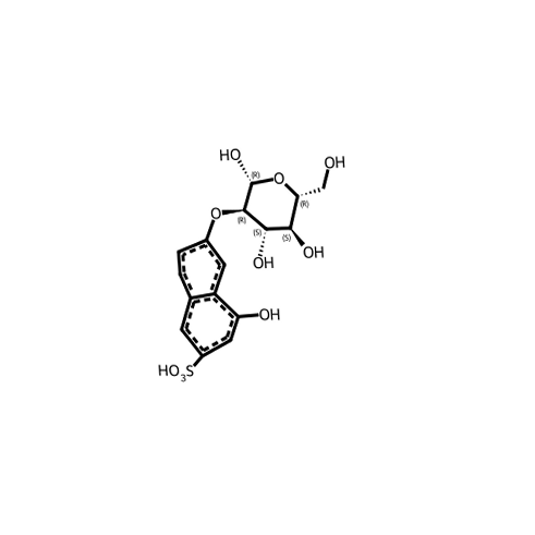 O=S(=O)(O)c1cc(O)c2cc(O[C@@H]3[C@@H](O)[C@H](O)[C@@H](CO)O[C@H]3O)ccc2c1